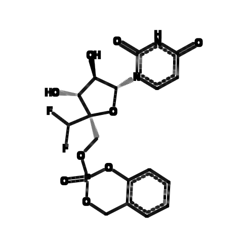 O=c1ccn([C@@H]2O[C@@](COP3(=O)OCc4ccccc4O3)(C(F)F)[C@H](O)[C@H]2O)c(=O)[nH]1